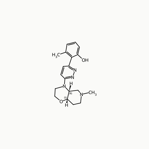 Cc1cccc(O)c1-c1ccc(N2CCO[C@H]3CCN(C)C[C@H]32)nn1